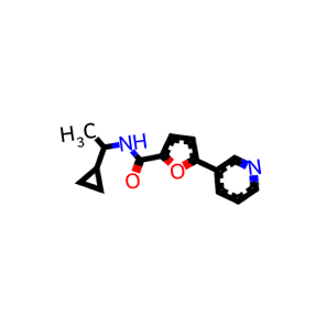 CC(NC(=O)c1ccc(-c2cccnc2)o1)C1CC1